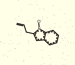 C=CCc1cc2ccccc2n1Cl